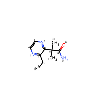 CC(C)Cc1nccnc1C(C)(C)C(N)=O